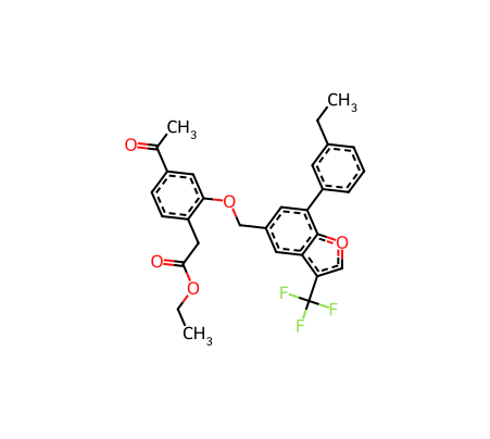 CCOC(=O)Cc1ccc(C(C)=O)cc1OCc1cc(-c2cccc(CC)c2)c2occ(C(F)(F)F)c2c1